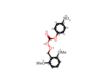 COc1cccc(OC)c1COOC(=O)Oc1ccc([N+](=O)[O-])cc1